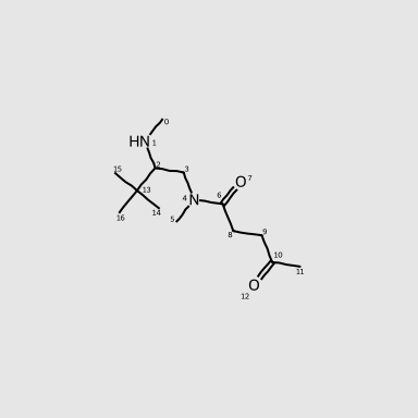 CNC(CN(C)C(=O)CCC(C)=O)C(C)(C)C